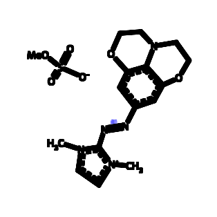 COS(=O)(=O)[O-].Cn1cc[n+](C)c1/N=N/c1cc2c3c(c1)OCCN3CCO2